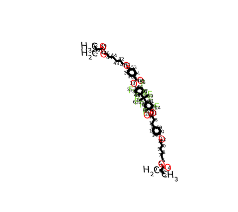 C=C(C)C(=O)OCCCCCCOc1ccc(CCC(=O)Oc2c(F)cc(C(c3cc(F)c(OC(=O)c4ccc(OCCCCCCOC(=O)C(=C)C)cc4)c(F)c3)(C(F)(F)F)C(F)(F)F)cc2F)cc1